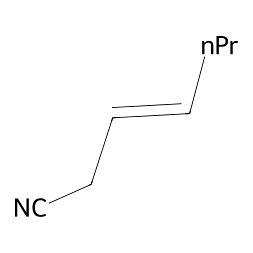 CCCC=CCC#N